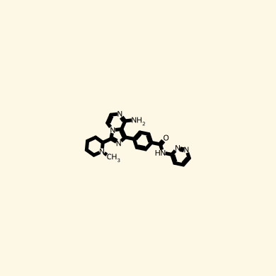 CN1CCCCC1c1nc(-c2ccc(C(=O)Nc3cccnn3)cc2)c2c(N)nccn12